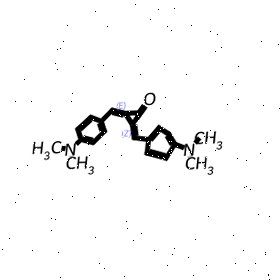 CN(C)c1ccc(/C=c2\c(=O)\c2=C\c2ccc(N(C)C)cc2)cc1